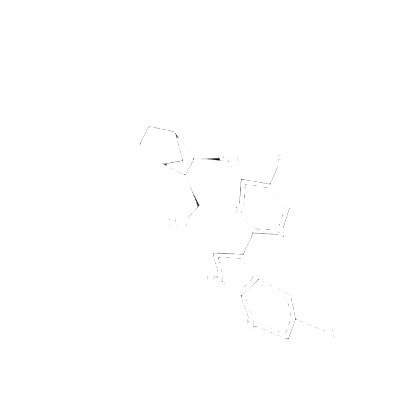 OC[C@H]1C2CCC(C2)[C@H]1Nc1nc(-c2c[nH]c3ncc(Cl)cc23)ncc1F